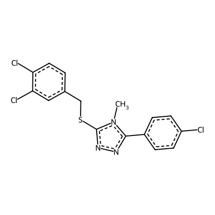 Cn1c(SCc2ccc(Cl)c(Cl)c2)nnc1-c1ccc(Cl)cc1